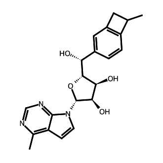 Cc1ncnc2c1ccn2[C@@H]1O[C@H]([C@H](O)c2ccc3c(c2)CC3C)[C@@H](O)[C@H]1O